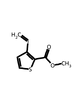 C=Ic1ccsc1C(=O)OC